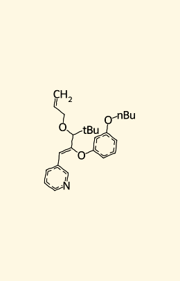 C=CCOC(C(=Cc1cccnc1)Oc1cccc(OCCCC)c1)C(C)(C)C